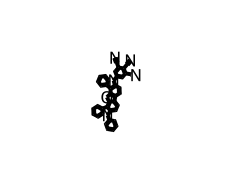 N#Cc1cc(-n2c3ccccc3c3c4oc5c(ccc6c5c5ccccc5n6-c5ccccc5)c4ccc32)cc(C#N)c1C#N